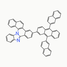 c1ccc2cc(-c3c4ccccc4c(-c4ccc5ccccc5c4)c4cc(-c5ccc6c(c5)c5ccc7ccccc7c5n5c7ccccc7nc65)ccc34)ccc2c1